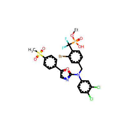 CCOP(=O)(O)C(F)(F)c1ccc(CN(c2ccc(Cl)c(Cl)c2)c2ncc(-c3ccc(S(C)(=O)=O)cc3)o2)cc1Br